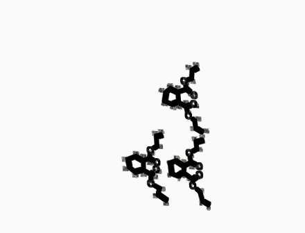 C=CCOC(=O)c1ccccc1C(=O)OCC=C.C=CCOC(=O)c1ccccc1C(=O)OCC=C.C=CCOC(=O)c1ccccc1C(=O)OCC=C